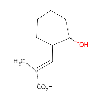 C/C(=C\C1CCCCC1O)C(=O)O